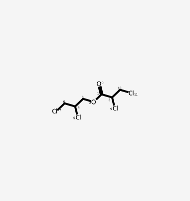 O=C(OCC(Cl)CCl)C(Cl)CCl